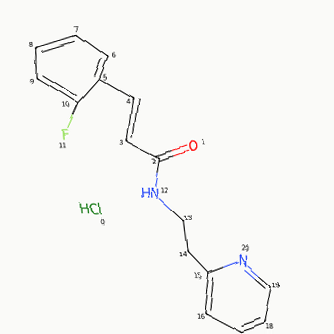 Cl.O=C(C=Cc1ccccc1F)NCCc1ccccn1